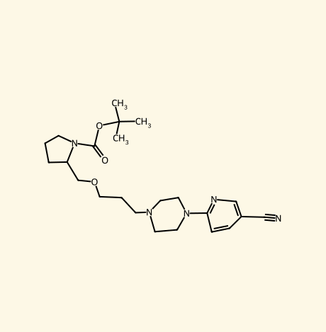 CC(C)(C)OC(=O)N1CCCC1COCCCN1CCN(c2ccc(C#N)cn2)CC1